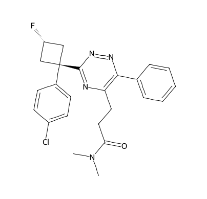 CN(C)C(=O)CCc1nc([C@]2(c3ccc(Cl)cc3)C[C@@H](F)C2)nnc1-c1ccccc1